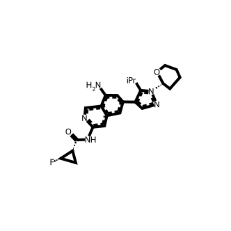 CC(C)c1c(-c2cc(N)c3cnc(NC(=O)[C@@H]4C[C@@H]4F)cc3c2)cnn1[C@H]1CCCCO1